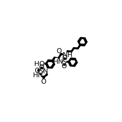 O=C1CN(c2ccc(C[C@H](NS(=O)(=O)c3ccccc3)C(=O)NCCCCc3ccccc3)cc2O)S(=O)(=O)N1